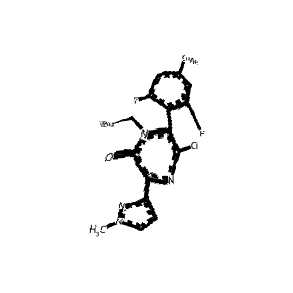 CC[C@H](C)Cn1c(-c2c(F)cc(OC)cc2F)c(Cl)nc(-c2ccn(C)n2)c1=O